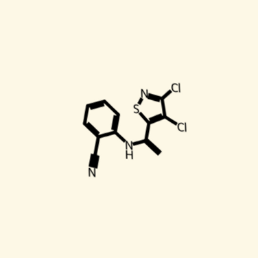 C=C(Nc1ccccc1C#N)c1snc(Cl)c1Cl